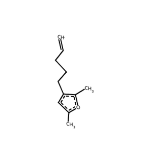 [CH]=CCCCc1cc(C)oc1C